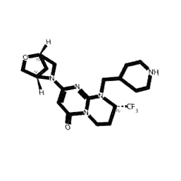 O=c1cc(N2C[C@@H]3C[C@H]2CO3)nc2n1CC[C@@H](C(F)(F)F)N2CC1CCNCC1